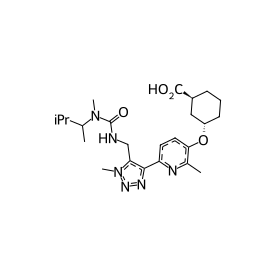 Cc1nc(-c2nnn(C)c2CNC(=O)N(C)C(C)C(C)C)ccc1O[C@H]1CCC[C@H](C(=O)O)C1